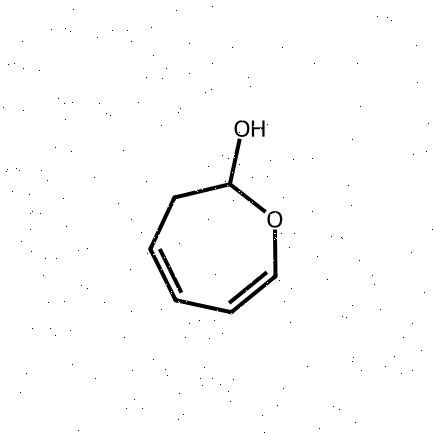 OC1CC=CC=CO1